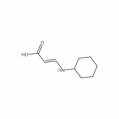 O=C(O)/C=C/NC1CCCCC1